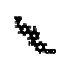 O=CC1CCC(Nc2ccc(F)c(N3CCN(CC4CC4)CC3)c2)CC1